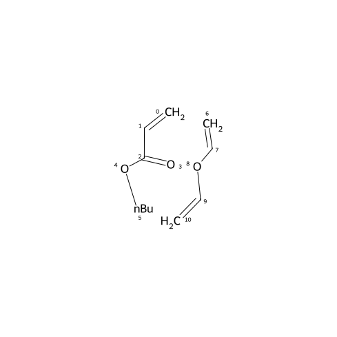 C=CC(=O)OCCCC.C=COC=C